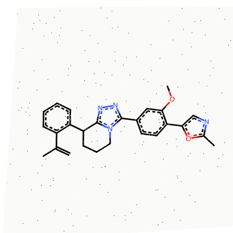 C=C(C)c1ccccc1C1CCCn2c(-c3ccc(-c4cnc(C)o4)c(OC)c3)nnc21